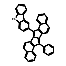 c1ccc(C2=C3C(=C(c4ccc5[nH]c6ccccc6c5c4)c4c3ccc3ccccc43)c3ccc4ccccc4c32)cc1